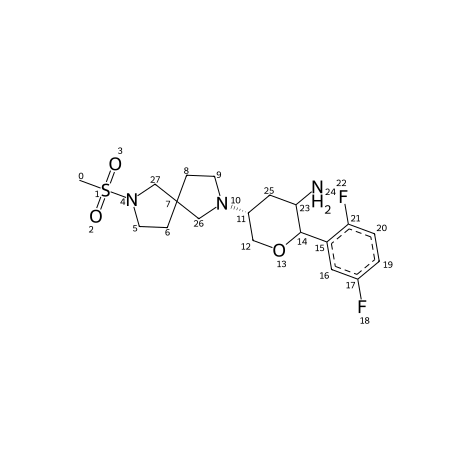 CS(=O)(=O)N1CCC2(CCN([C@H]3COC(c4cc(F)ccc4F)C(N)C3)C2)C1